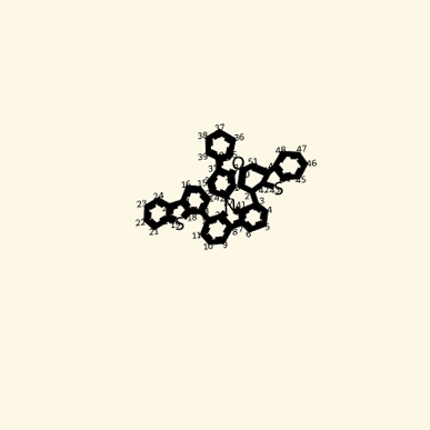 C1=CC(c2cccc3c4cccc(-c5cccc6c5sc5ccccc56)c4n(-c4ccc5c(c4)oc4ccccc45)c23)C2Sc3ccccc3C2=C1